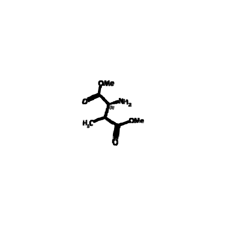 COC(=O)C(C)[C@H](N)C(=O)OC